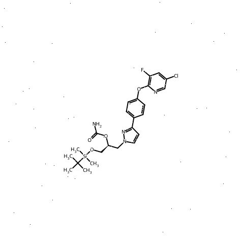 CC(C)(C)[Si](C)(C)OC[C@H](Cn1ccc(-c2ccc(Oc3ncc(Cl)cc3F)cc2)n1)OC(N)=O